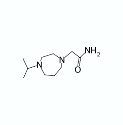 CC(C)N1CCCN(CC(N)=O)CC1